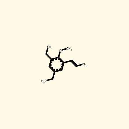 CC=Cc1cc(CC)cc(CC)c1OC